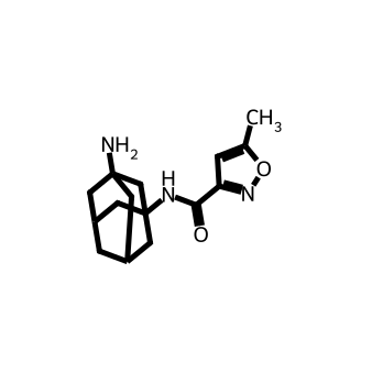 Cc1cc(C(=O)NC23CC4CC(CC(N)(C4)C2)C3)no1